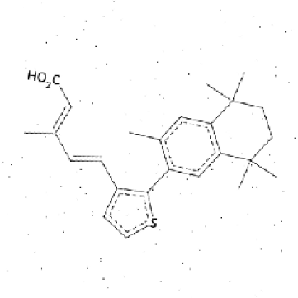 CC(C=Cc1ccsc1-c1cc2c(cc1C)C(C)(C)CCC2(C)C)=CC(=O)O